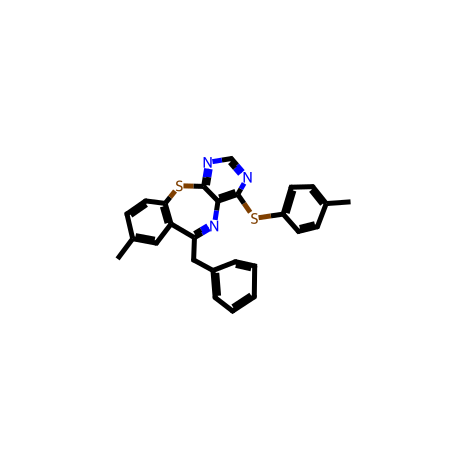 Cc1ccc(Sc2ncnc3c2N=C(Cc2ccccc2)c2cc(C)ccc2S3)cc1